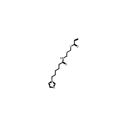 C=CC(=O)OCCCNC(=O)CCCCCn1ccnc1